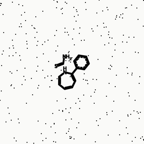 C1=CC=C(c2ccccc2)NC=C1.NC=S